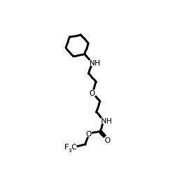 O=C(NCCOCCNC1CCCCC1)OCC(F)(F)F